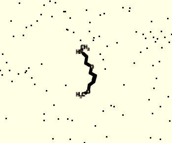 CNCCOC/C=C\COC